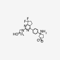 C[C@H]1[C@H](O)CN1c1nc(-c2ccc([C@@]3(N)CCS(=O)(=O)C3)cc2)c2c(n1)C(F)(F)CC2